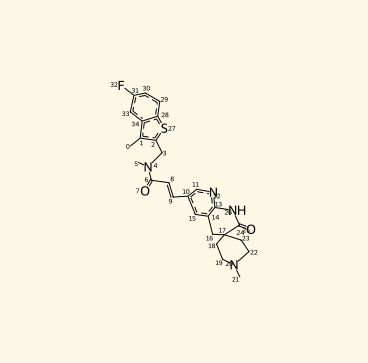 Cc1c(CN(C)C(=O)/C=C/c2cnc3c(c2)CC2(CCN(C)CC2)C(=O)N3)sc2ccc(F)cc12